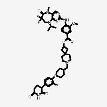 COc1cc(C(=O)OC2CC3(CCN(CC4CCN(c5ccc(C6CCC(=O)NC6=O)cc5F)CC4)CC3)C2)ccc1Nc1ncc2c(n1)N(C(C)C)CC(F)(F)C(=O)N2C